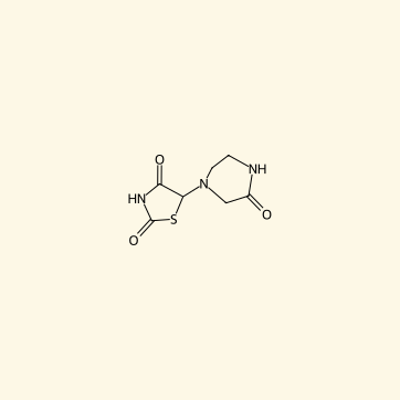 O=C1CN(C2SC(=O)NC2=O)CCN1